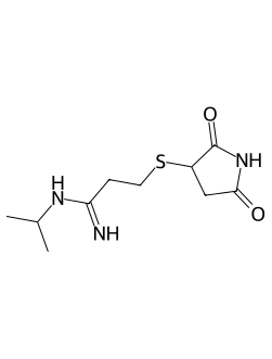 CC(C)NC(=N)CCSC1CC(=O)NC1=O